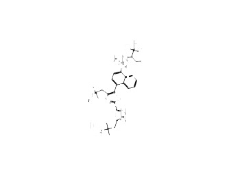 CCC(NS(=O)(=O)c1ccc(-c2sc(-c3nnc(CC(C)(C)C(=O)O)o3)nc2CC(C)(C)OC)c2ccccc12)C(F)(F)F